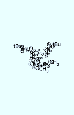 C=CC(=O)OCC(C)(C)C(=O)C(=O)N1CCCC[C@H]1C(=O)O[C@H](CCCN1CCN(C(=O)OC(C)(C)C)CC1)c1cccc(NC(=O)CCC(=O)OC(C)(C)C)c1